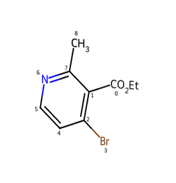 CCOC(=O)c1c(Br)ccnc1C